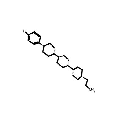 CCC[C@H]1CC[C@H]([C@H]2CC[C@H]([C@H]3CC[C@H](c4ccc(F)cc4)CC3)CC2)CC1